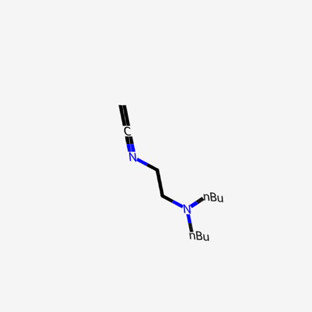 C=C=NCCN(CCCC)CCCC